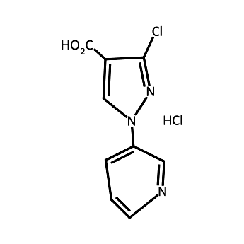 Cl.O=C(O)c1cn(-c2cccnc2)nc1Cl